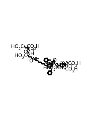 C[C@H](NC(=O)[C@H](CC(=O)O)NC(=O)[C@@H](N)CNC(=O)[C@H](Cc1ccccc1)NC(=O)[C@H](Cc1ccccc1)NC(=O)CCCCCCCNC(=O)CC[C@@H](NC(=O)N[C@H](CCC(=O)O)C(=O)O)C(=O)O)C(=O)O